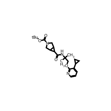 CC(C)(COc1ncccc1C1CC1)NC(=O)C1C2CN(C(=O)OC(C)(C)C)CC21